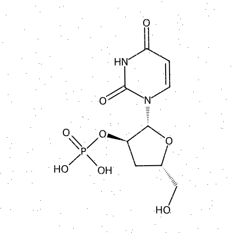 O=c1ccn([C@@H]2O[C@H](CO)C[C@H]2OP(=O)(O)O)c(=O)[nH]1